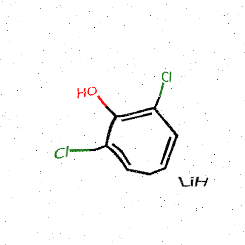 Oc1c(Cl)cccc1Cl.[LiH]